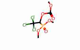 COC(=O)OC(C(Cl)(Cl)Cl)P(=O)(OC)OC